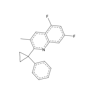 Cc1cc2c(F)cc(F)cc2nc1C1(c2ccccc2)CC1